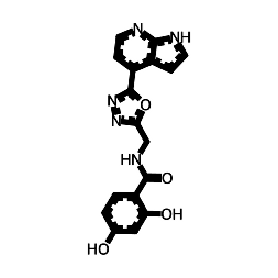 O=C(NCc1nnc(-c2ccnc3[nH]ccc23)o1)c1ccc(O)cc1O